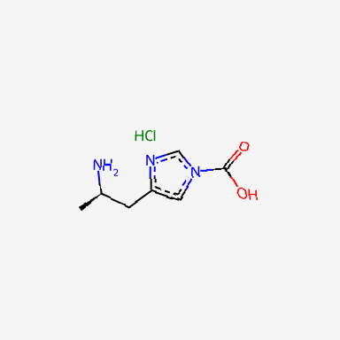 C[C@@H](N)Cc1cn(C(=O)O)cn1.Cl